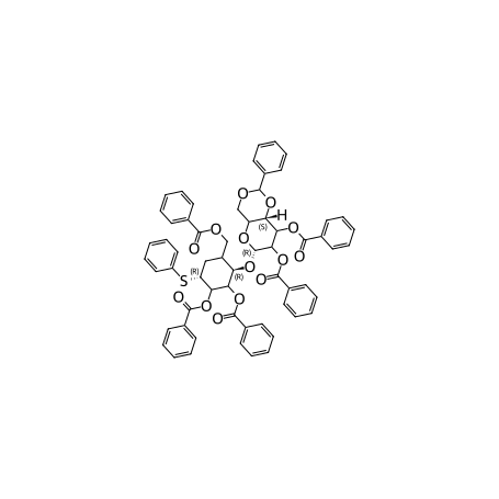 O=C(OCC1C[C@@H](Sc2ccccc2)C(OC(=O)c2ccccc2)C(OC(=O)c2ccccc2)[C@@H]1O[C@@H]1OC2COC(c3ccccc3)O[C@@H]2C(OC(=O)c2ccccc2)C1OC(=O)c1ccccc1)c1ccccc1